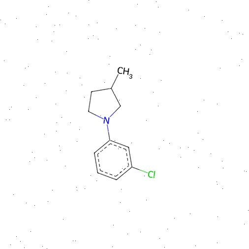 CC1CCN(c2cccc(Cl)c2)C1